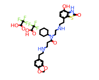 O=C(CCNCCc1ccc2c(c1)OCO2)N(CCNCCc1ccc(O)c2[nH]c(=O)sc12)C1CCCCC1.O=C(O)C(F)(F)F.O=C(O)C(F)(F)F